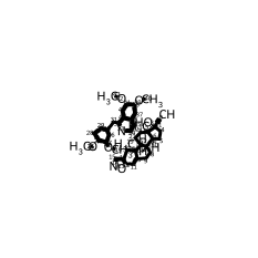 C#C[C@]1(O)CC[C@H]2[C@@H]3CCC4=Cc5oncc5C[C@]4(C)[C@H]3CC[C@@]21C.COc1ccc(Cc2nccc3cc(OC)c(OC)cc23)cc1OC